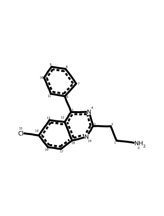 NCCc1nc(-c2ccccc2)c2cc(Cl)ccc2n1